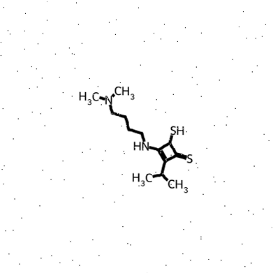 CC(C)C1=C(NCCCCN(C)C)C(S)C1=S